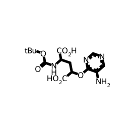 CC(C)(C)OC(=O)NC(CC(Oc1ncncc1N)C(=O)O)C(=O)O